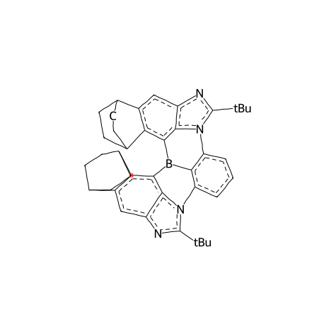 CC(C)(C)c1nc2cc3c(c4c2n1-c1cccc2c1B4c1c4c(cc5nc(C(C)(C)C)n-2c15)C1CCC4CC1)C1CCC3CC1